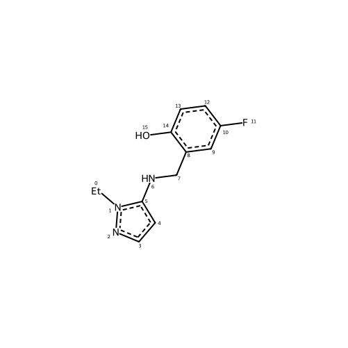 CCn1nccc1NCc1cc(F)ccc1O